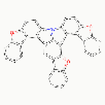 c1ccc2c(c1)oc1c2cc2c3c4c(ccc3n3c5ccc6oc7ccccc7c6c5c1c23)oc1ccccc14